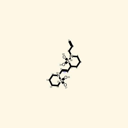 C=CCN1CCCC(/C=C/N2CCCCS2(=O)=O)S1(=O)=O